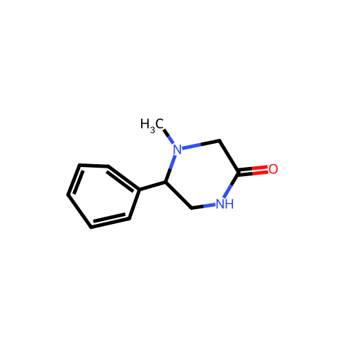 CN1CC(=O)NCC1c1ccccc1